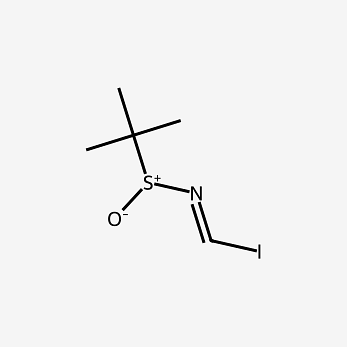 CC(C)(C)[S+]([O-])/N=C/I